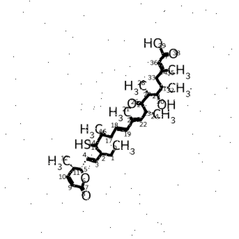 CCC(/C=C/[C@@H]1OC(=O)C=C[C@@H]1C)C(S)[C@H](C)C/C=C/C(C)=C/[C@@H](C)C(=O)[C@@H](C)[C@H](O)[C@@H](C)C/C(C)=C/C(=O)O